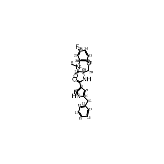 CN1C(=O)[C@@H](NC(=O)c2cc(Cc3ccccc3)[nH]n2)COc2ccc(F)cc21